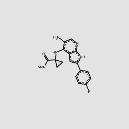 CNC(=O)C1(Nc2c(N)cnc3[nH]c(-c4ccc(F)cc4)cc23)CC1